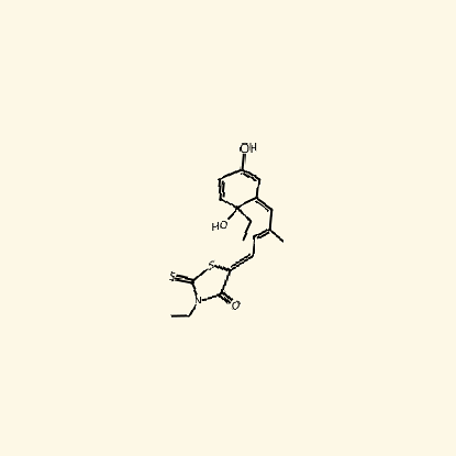 CCN1C(=O)C(=CC=C(C)C=C2C=C(O)C=CC2(O)CC)SC1=S